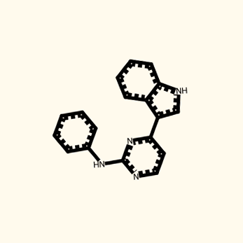 c1ccc(Nc2nccc(-c3c[nH]c4ccccc34)n2)cc1